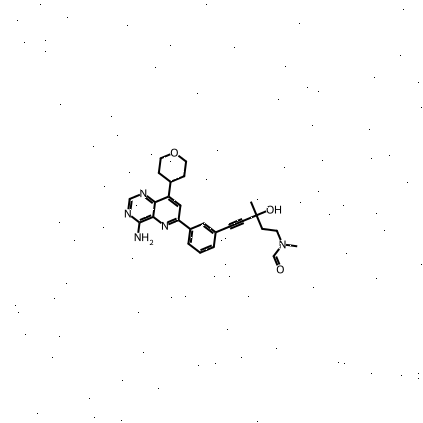 CN(C=O)CCC(C)(O)C#Cc1cccc(-c2cc(C3CCOCC3)c3ncnc(N)c3n2)c1